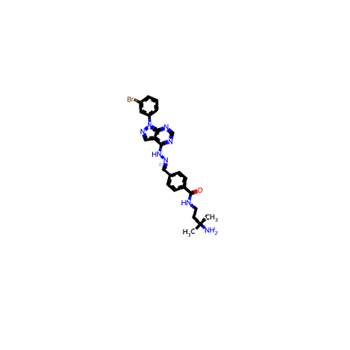 CC(C)(N)CCNC(=O)c1ccc(/C=N/Nc2ncnc3c2cnn3-c2cccc(Br)c2)cc1